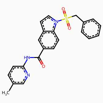 Cc1ccc(NC(=O)c2ccc3c(ccn3S(=O)(=O)Cc3ccccc3)c2)nc1